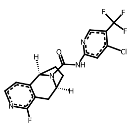 O=C(Nc1cc(Cl)c(C(F)(F)F)cn1)N1[C@H]2CC[C@@H]1c1ccnc(F)c1C2